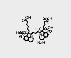 CC1(CCCCS(=O)(=O)O)C(/C=C/C=C2\N3CCCc4ccc(S(=O)(=O)O)c(c43)C2(C)CCCCCC(=O)O)=[N+]2CCCc3ccc(S(=O)(=O)O)c1c32.[NaH]